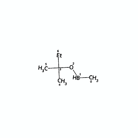 CBOC(C)(C)CC